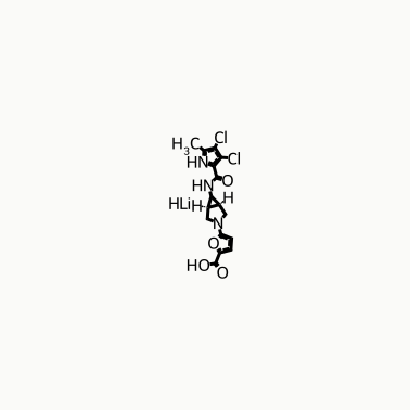 Cc1[nH]c(C(=O)NC2[C@H]3CN(c4ccc(C(=O)O)o4)C[C@@H]23)c(Cl)c1Cl.[LiH]